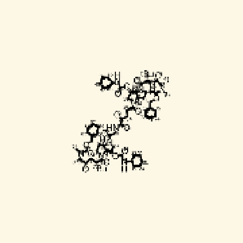 C[C@@H](C(=O)C[C@H](C(=O)N1CC[C@@H]2[C@H]1[C@@H](OC(=O)Nc1ccccc1)CN2C(=O)CNC(=O)C(=O)CCC(=O)N1C[C@H](OC(=O)Nc2ccccc2)[C@@H]2[C@H]1CCN2C(=O)[C@@H](NC(=O)[C@H](C)N(C)C(=O)OCc1ccccc1)C(C)(C)C)C(C)(C)C)N(C)C(=O)OCc1ccccc1